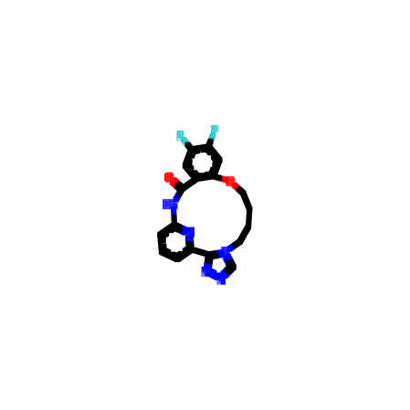 O=C1Nc2cccc(n2)-c2nncn2CCCCOc2cc(F)c(F)cc21